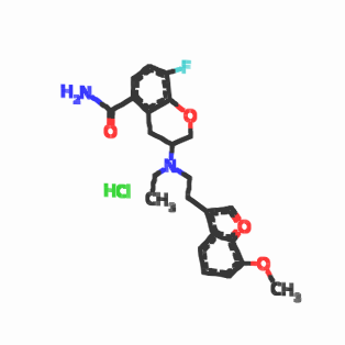 CCN(CCc1coc2c(OC)cccc12)C1COc2c(F)ccc(C(N)=O)c2C1.Cl